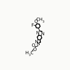 CCOC(=O)Cn1cc2cc3ncc(-c4ccc(OC)c(F)c4)nc3cc2n1